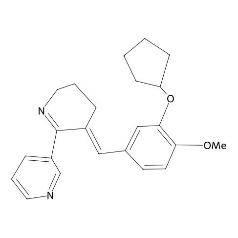 COc1ccc(C=C2CCCN=C2c2cccnc2)cc1OC1CCCC1